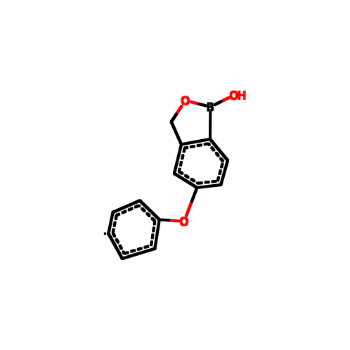 OB1OCc2cc(Oc3cc[c]cc3)ccc21